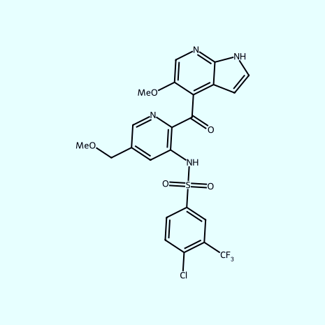 COCc1cnc(C(=O)c2c(OC)cnc3[nH]ccc23)c(NS(=O)(=O)c2ccc(Cl)c(C(F)(F)F)c2)c1